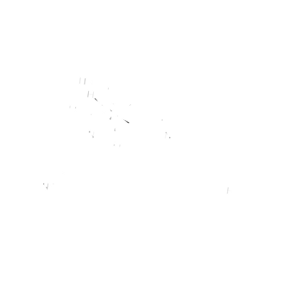 CC12CCC(CC(=O)NCc3ccc(F)cc3)(O1)[C@@H]1C(=O)N(c3ccc(C#N)c4ccccc34)C(=O)[C@@H]12